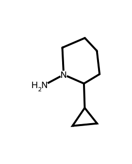 NN1CCCCC1C1CC1